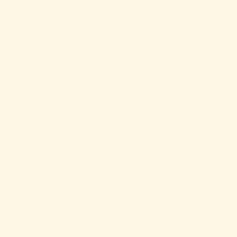 C#Cc1ccc(CCCC(=O)NCCC(CC)CC)cc1